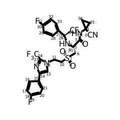 N#CC1(NC(=O)[C@H](CS(=O)(=O)CCn2cc(-c3ccc(F)cc3)nc2C(F)(F)F)N[C@@H](c2ccc(F)cc2)C(F)(F)F)CC1